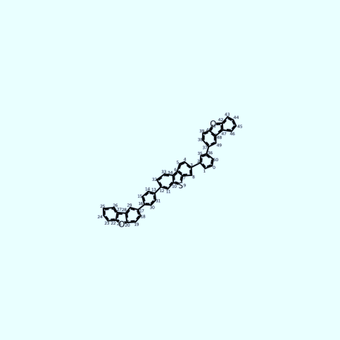 c1cc(-c2ccc3c(c2)sc2cc(-c4ccc(-c5ccc6oc7ccccc7c6c5)cc4)ccc23)cc(-c2ccc3oc4ccccc4c3c2)c1